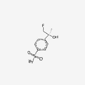 CC(C)S(=O)(=O)c1ccc([C@](C)(O)CF)cc1